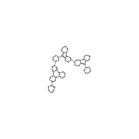 c1ccc(-n2c3ccccc3c3cc(-c4ccc5c(c4)c4ccccc4n5-c4cccc(-c5ccc6c7ccc(-c8ccccn8)cc7c7ccccc7c6c5)c4)ccc32)cc1